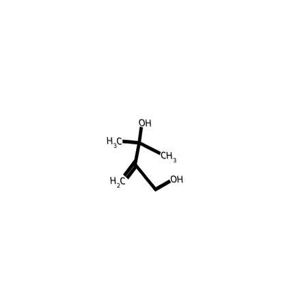 C=C(CO)C(C)(C)O